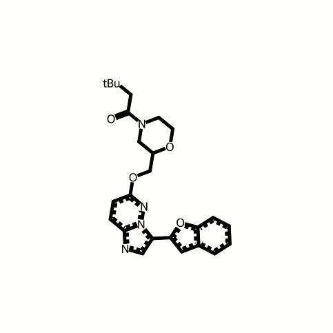 CC(C)(C)CC(=O)N1CCOC(COc2ccc3ncc(-c4cc5ccccc5o4)n3n2)C1